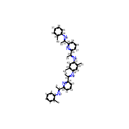 C/C(=N\c1ccccc1C)c1cccc(/C(C)=N/c2cc(C)c(/N=C(\C)c3cccc(/C(C)=N/c4ccccc4C)n3)cc2C)n1